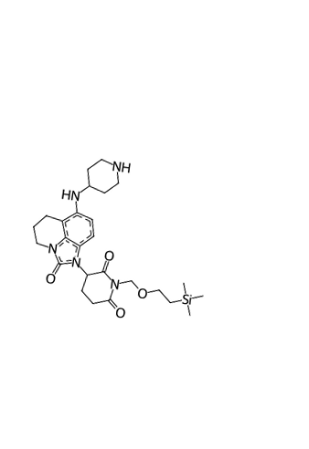 C[Si](C)(C)CCOCN1C(=O)CCC(n2c(=O)n3c4c(c(NC5CCNCC5)ccc42)CCC3)C1=O